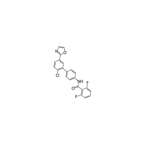 O=C(Nc1ccc(-c2cc(-c3ncco3)ccc2Cl)cc1)c1c(F)cccc1F